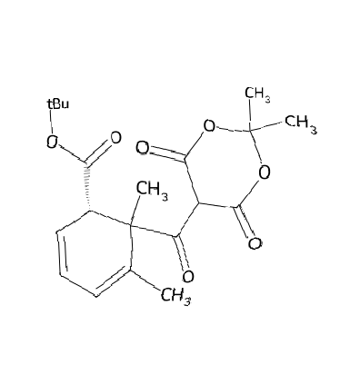 CC1=CC=C[C@H](C(=O)OC(C)(C)C)C1(C)C(=O)C1C(=O)OC(C)(C)OC1=O